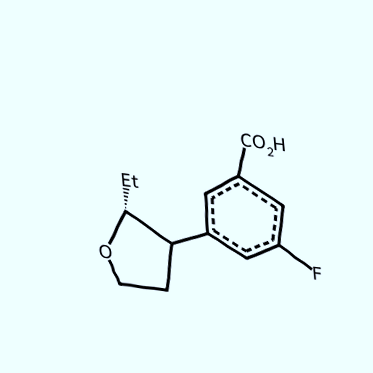 CC[C@H]1OCCC1c1cc(F)cc(C(=O)O)c1